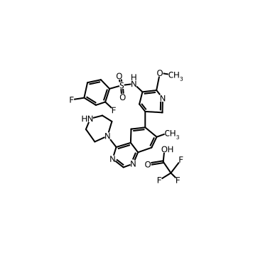 COc1ncc(-c2cc3c(N4CCNCC4)ncnc3cc2C)cc1NS(=O)(=O)c1ccc(F)cc1F.O=C(O)C(F)(F)F